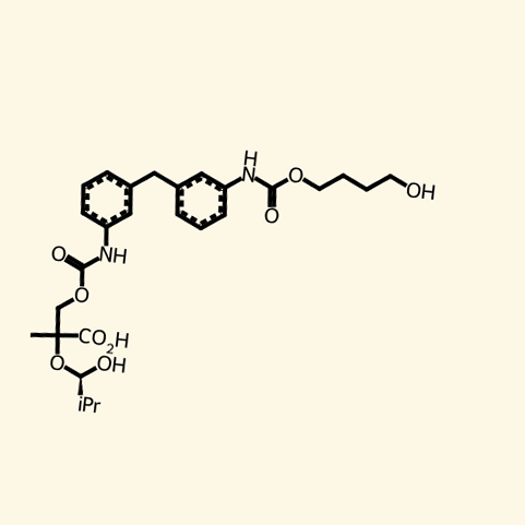 CC(C)[C@H](O)OC(C)(COC(=O)Nc1cccc(Cc2cccc(NC(=O)OCCCCO)c2)c1)C(=O)O